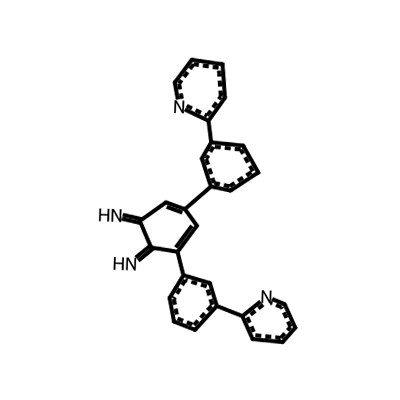 N=C1C=C(c2cccc(-c3ccccn3)c2)C=C(c2cccc(-c3ccccn3)c2)C1=N